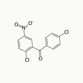 O=C(c1ccc(Cl)cc1)c1cc([N+](=O)[O-])ccc1Cl